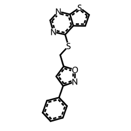 c1ccc(-c2cc(CSc3ncnc4sccc34)on2)cc1